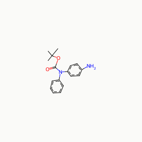 CC(C)(C)OC(=O)N(c1ccccc1)c1ccc(N)cc1